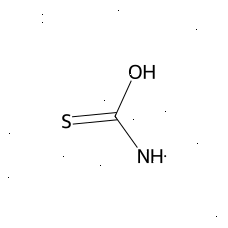 [NH]C(O)=S